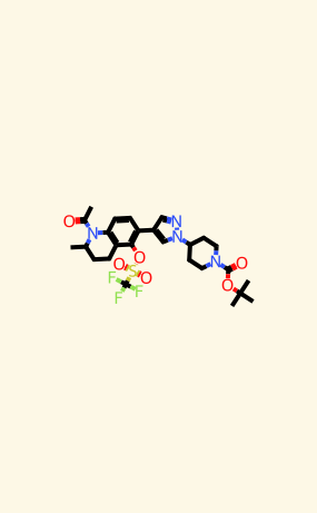 CC(=O)N1c2ccc(-c3cnn(C4CCN(C(=O)OC(C)(C)C)CC4)c3)c(OS(=O)(=O)C(F)(F)F)c2CCC1C